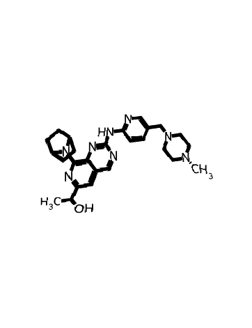 CC(O)c1cc2cnc(Nc3ccc(CN4CCN(C)CC4)cn3)nc2c(N2C3CCC2CC3)n1